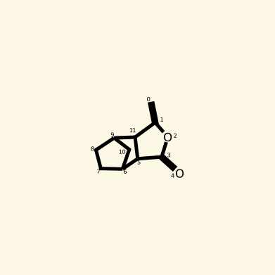 C=C1OC(=O)C2C3CCC(C3)C12